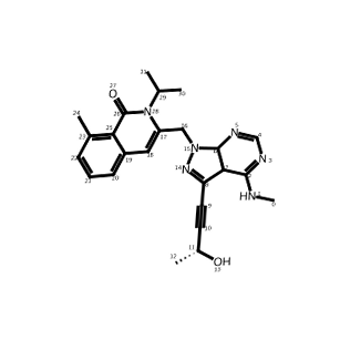 CNC1=NC=NC2C1C(C#C[C@@H](C)O)=NN2Cc1cc2cccc(C)c2c(=O)n1C(C)C